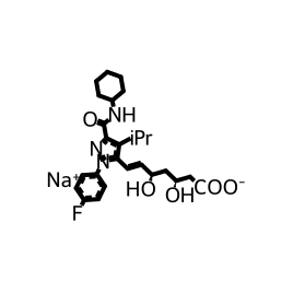 CC(C)c1c(C(=O)NC2CCCCC2)nn(-c2ccc(F)cc2)c1C=C[C@H](O)C[C@@H](O)CC(=O)[O-].[Na+]